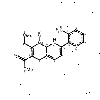 COCC1=C(C(=O)OC)CC2=CC=C(c3ncccc3C(F)(F)F)NC2N1Cl